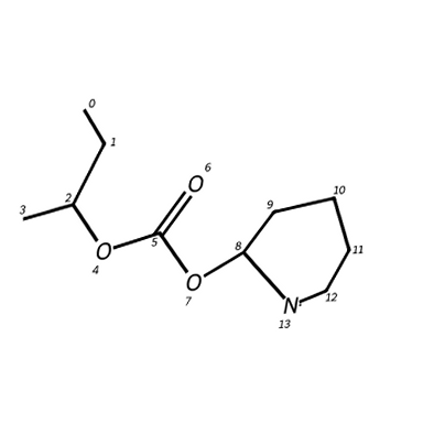 CCC(C)OC(=O)OC1CCCC[N]1